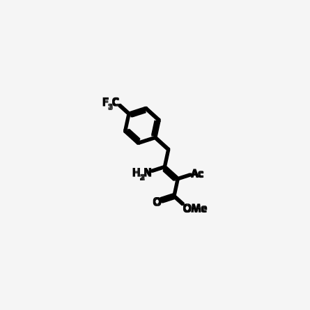 COC(=O)/C(C(C)=O)=C(\N)Cc1ccc(C(F)(F)F)cc1